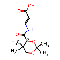 CC1(C)OCC(C)(C)[C@@H](C(=O)NC=CC(=O)O)O1